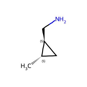 C[C@H]1C[C@@H]1CN